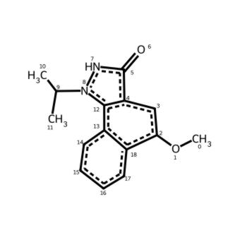 COc1cc2c(=O)[nH]n(C(C)C)c2c2ccccc12